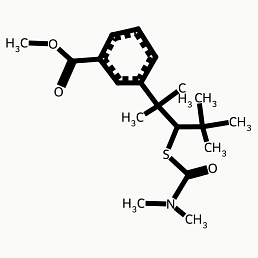 COC(=O)c1cccc(C(C)(C)C(SC(=O)N(C)C)C(C)(C)C)c1